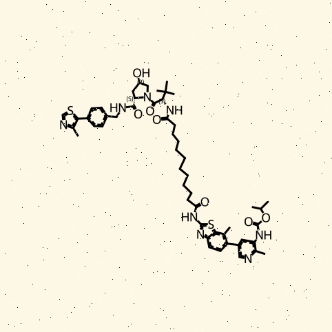 Cc1ncc(-c2ccc3nc(NC(=O)CCCCCCCCCCC(=O)N[C@H](C(=O)N4C[C@H](O)C[C@H]4C(=O)NCc4ccc(-c5scnc5C)cc4)C(C)(C)C)sc3c2C)cc1NC(=O)OC(C)C